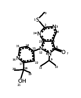 CSc1ncc2c(=O)n(C(C)C)n(-c3ccnc(C(C)(C)O)c3)c2n1